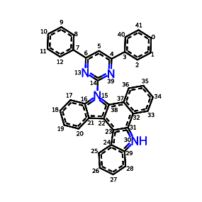 c1ccc(-c2cc(-c3ccccc3)nc(-n3c4ccccc4c4c5c6ccccc6[nH]c5c5ccccc5c43)n2)cc1